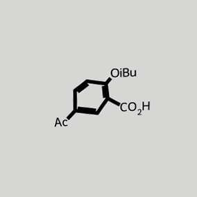 CC(=O)c1ccc(OCC(C)C)c(C(=O)O)c1